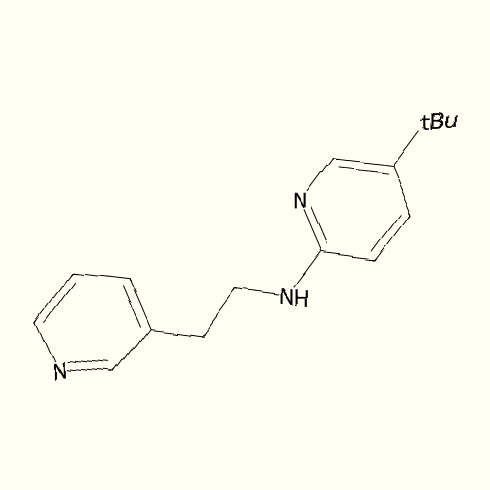 CC(C)(C)c1ccc(NCCc2cccnc2)nc1